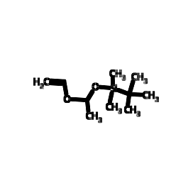 C=COC(C)O[Si](C)(C)C(C)(C)C